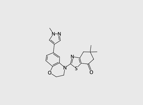 Cn1cc(-c2ccc3c(c2)N(c2nc4c(s2)C(=O)CC(C)(C)C4)CCO3)cn1